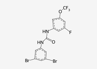 O=C(Nc1cc(Br)cc(Br)c1)Nc1cc(F)cc(OC(F)(F)F)c1